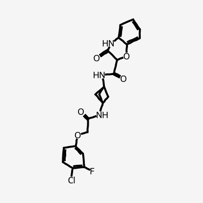 O=C(COc1ccc(Cl)c(F)c1)NC12CC(NC(=O)C3Oc4ccccc4NC3=O)(C1)C2